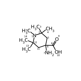 CN1C(C)(C)CC(N)(C(=O)O)CC1(C)C